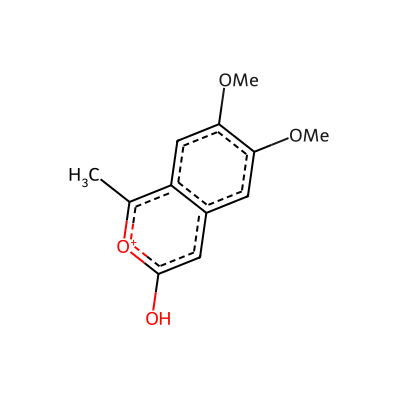 COc1cc2cc(O)[o+]c(C)c2cc1OC